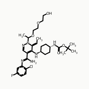 C/C=C1C(N[C@H]2CC[C@H](NC(=O)OC(C)(C)C)CC2)=C(/C(N)=N/c2cc(F)ccc2Cl)C=NN/1C(C)OCCOCCO